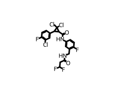 O=C(CC(F)F)NCc1cc(NC(=O)C2C(c3ccc(F)c(Cl)c3)C2(Cl)Cl)ccc1F